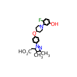 CC1=NN(c2ccc(OC3CCN(c4cc(O)ccc4F)CC3)cc2)C(CC(=O)O)C1C